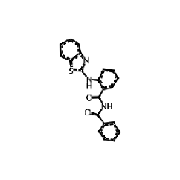 O=C(NC(=O)c1ccccc1Nc1nc2ccccc2s1)c1ccccc1